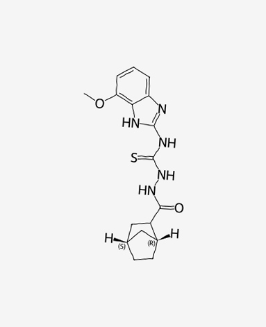 COc1cccc2nc(NC(=S)NNC(=O)C3C[C@H]4CC[C@@H]3C4)[nH]c12